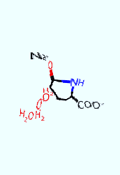 O.O.O.O=C1CCC(C(=O)[O-])N1.[Na+]